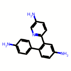 Nc1ccc(-c2ccc(N)cc2-c2ccc(N)cn2)cc1